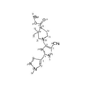 Cn1cc(-c2ncc(C#N)c(N3CCN(C(=O)OC(C)(C)C)C(C)(C)C3)n2)cn1